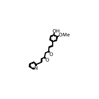 COc1cc(/C=C/C(=O)CC(=O)/C=C/c2ccccn2)ccc1O